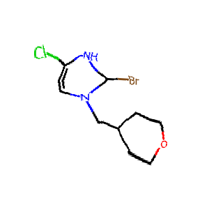 ClC1=CN(CC2CCOCC2)C(Br)N1